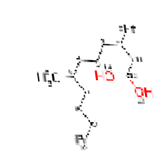 CCC(CCCC(C)CCCC(C)C)CC(O)O